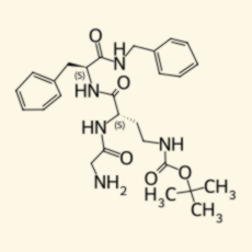 CC(C)(C)OC(=O)NCC[C@H](NC(=O)CN)C(=O)N[C@@H](Cc1ccccc1)C(=O)NCc1ccccc1